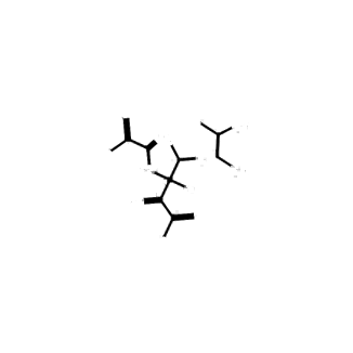 C=C(C)C(=O)NC(Cl)(C(=O)C(=C)C)C(C)O.CC(O)CN